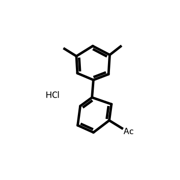 CC(=O)c1cccc(-c2cc(C)cc(C)c2)c1.Cl